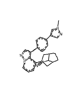 Cn1cc(-c2ccc(-c3cnn4cccc(N5CC6CCC(C5)C6C#N)c34)cc2)cn1